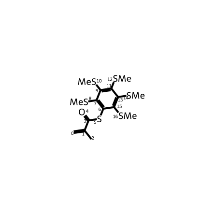 C=C(C)C(=O)Sc1c(SC)c(SC)c(SC)c(SC)c1SC